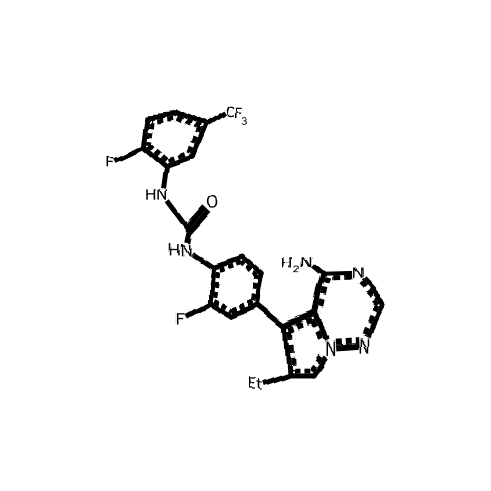 [CH2]Cc1cn2ncnc(N)c2c1-c1ccc(NC(=O)Nc2cc(C(F)(F)F)ccc2F)c(F)c1